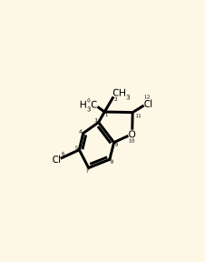 CC1(C)c2cc(Cl)ccc2OC1Cl